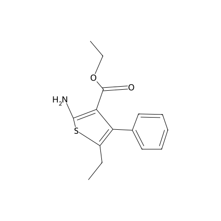 CCOC(=O)c1c(N)sc(CC)c1-c1ccccc1